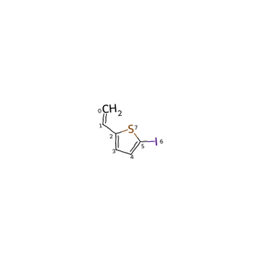 C=Cc1ccc(I)s1